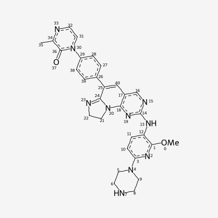 COc1nc(N2CCNCC2)ccc1Nc1ncc2c(n1)N1CCN=C1C(c1ccc(-n3ccnc(C)c3=O)cc1)=C2